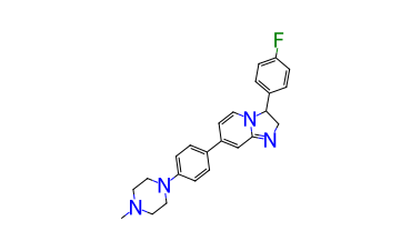 CN1CCN(c2ccc(C3=CC4=NCC(c5ccc(F)cc5)N4C=C3)cc2)CC1